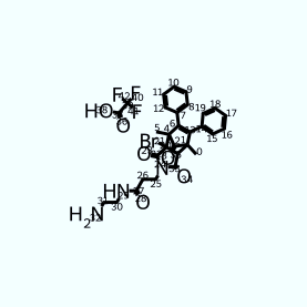 CC12C(=O)C(C)(C(c3ccccc3)=C1c1ccccc1)C1(Br)C(=O)N(CCC(=O)NCCN)C(=O)C21.O=C(O)C(F)(F)F